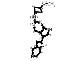 COC1CC(Nc2ncc3c(-c4cc5cnccc5s4)c[nH]c3n2)C1